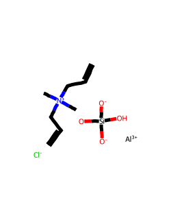 C=CC[N+](C)(C)CC=C.[Al+3].[Cl-].[O-][Si]([O-])([O-])O